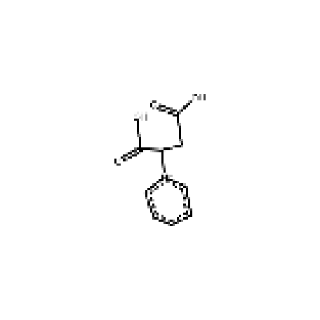 O=C(O)CC(C(=O)O)[n+]1ccccc1